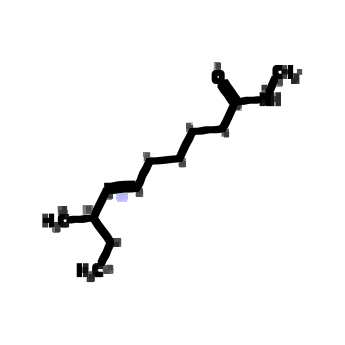 [CH2]NC(=O)CCCC/C=C/C(C)CC